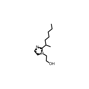 CCCCCC(C)c1nccn1CCO